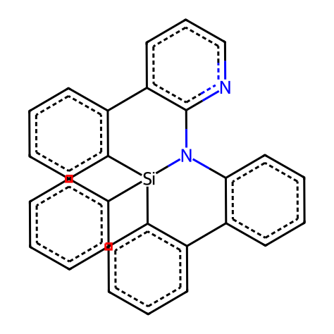 c1ccc([Si]23c4ccccc4-c4ccccc4N2c2ncccc2-c2ccccc23)cc1